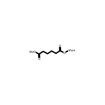 CCCCCOC(=O)CCCCC(=O)OC